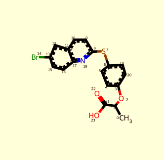 CC(Oc1ccc(Sc2ccc3cc(Br)ccc3n2)cc1)C(=O)O